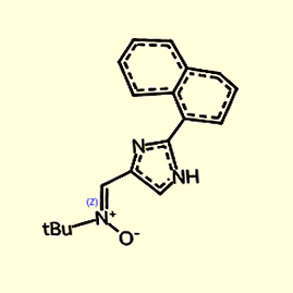 CC(C)(C)/[N+]([O-])=C/c1c[nH]c(-c2cccc3ccccc23)n1